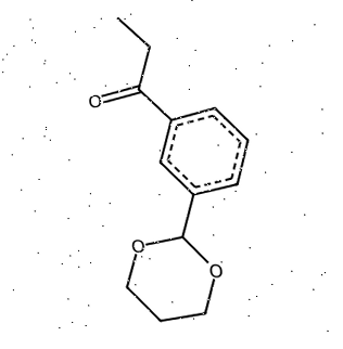 CCC(=O)c1cccc(C2OCCCO2)c1